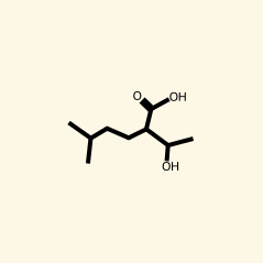 CC(C)CCC(C(=O)O)C(C)O